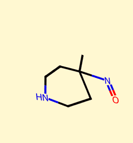 CC1(N=O)CCNCC1